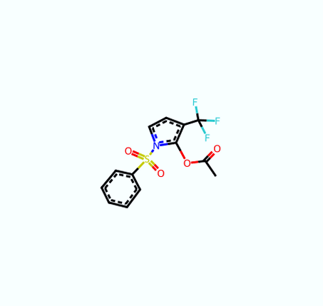 CC(=O)Oc1c(C(F)(F)F)ccn1S(=O)(=O)c1ccccc1